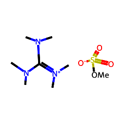 CN(C)C(N(C)C)=[N+](C)C.COS(=O)(=O)[O-]